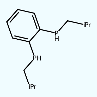 CC(C)CPc1ccccc1PCC(C)C